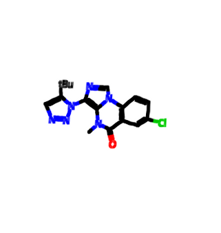 Cn1c(=O)c2cc(Cl)ccc2n2cnc(-n3nncc3C(C)(C)C)c12